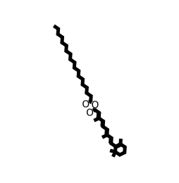 CCCCCCCCCCCCCCCCCCC(=O)OC(=O)/C=C(C)/C=C/C=C(C)/C=C/C1=C(C)CCCC1(C)C